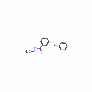 CCNC(=O)c1cccc(OCc2ccccc2)c1